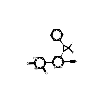 N#Cc1nnc(-c2c[nH]c(=O)[nH]c2=O)cc1[C@@H]1[C@@H](c2ccccc2)C1(F)F